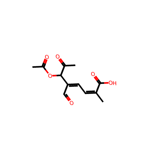 CC(=O)OC(C(C)=O)C(C=O)=CC=C(C)C(=O)O